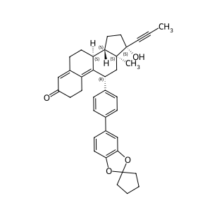 CC#C[C@]1(O)CC[C@H]2[C@@H]3CCC4=CC(=O)CCC4=C3[C@@H](c3ccc(-c4ccc5c(c4)OC4(CCCC4)O5)cc3)C[C@@]21C